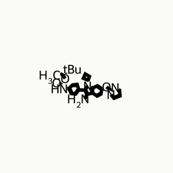 CC(OC(=O)Nc1ccc(-c2c(N)c3ccc(Oc4ncccn4)cc3n2C2CCC2)cc1)C(C)(C)C